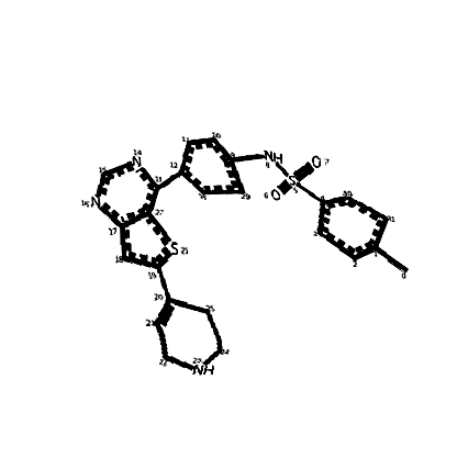 Cc1ccc(S(=O)(=O)Nc2ccc(-c3ncnc4cc(C5=CCNCC5)sc34)cc2)cc1